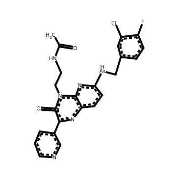 CC(=O)NCCn1c(=O)c(-c2cccnc2)nc2ccc([AsH]Cc3ccc(F)c(Cl)c3)nc21